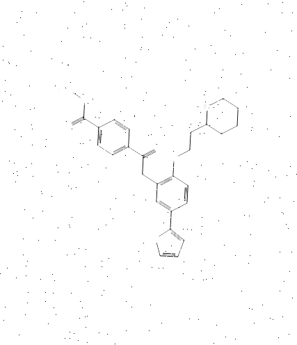 COC(=O)c1ccc(C(=O)Cc2cc(-c3cccs3)ccc2OCCC2CCCCN2)cc1